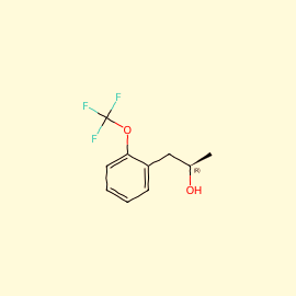 C[C@@H](O)Cc1ccccc1OC(F)(F)F